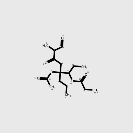 CCCC(CC(=O)C(C)[C]=O)(OC(C)=O)C(CC)OC(=O)CC